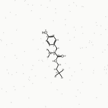 CN(C)[C@@H](Cc1ccc(O)cc1)C(=O)OCCC(C)(C)C